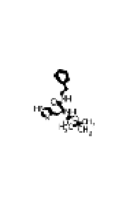 CC(C)(C)OC(=O)N[C@@H](Cc1c[nH]cn1)C(=O)NCCc1ccccc1